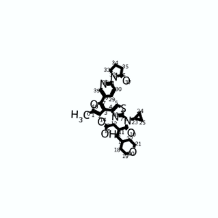 Cc1cc(-c2csc(N(C(=O)C(CC(=O)O)CC3CCOCC3)C3CC3)n2)c(-c2ccc(N3CCCC3=O)nc2)o1